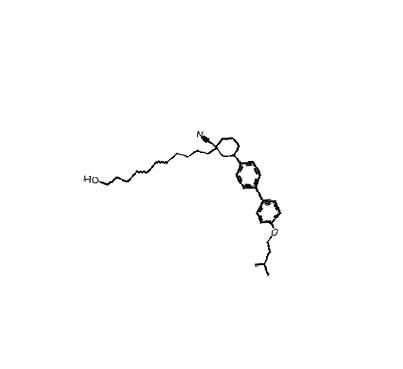 CC(C)CCOc1ccc(-c2ccc(C3CCCC(C#N)(CCCCCCCCCCCO)C3)cc2)cc1